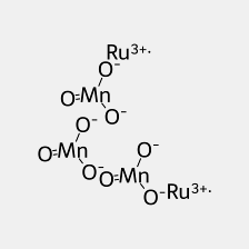 [O]=[Mn]([O-])[O-].[O]=[Mn]([O-])[O-].[O]=[Mn]([O-])[O-].[Ru+3].[Ru+3]